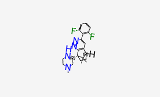 CN1CCN[C@H](C23CC[C@@H](c4cc(-c5c(F)cccc5F)nnc42)C3(C)C)C1